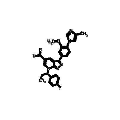 CCC(c1ccc(F)cc1)n1cc(C(F)F)cc2c(-c3ccc(-n4cnc(C)c4)c(OC)c3)nnc1-2